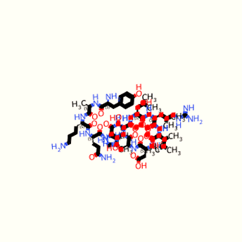 CC[C@H](C)[C@H](NC(=O)[C@H](CCC(N)=O)NC(=O)[C@H](CCCCN)NC(=O)[C@H](C)NC(=O)[C@@H](N)Cc1ccc(O)cc1)C(=O)N[C@@H](Cc1c[nH]cn1)C(=O)N[C@@H](CO)C(=O)N[C@@H](CCCNC(=N)N)C(=O)N[C@H](C(=O)N[C@@H](CC(=O)O)C(=O)N[C@@H](CO)C(=O)N[C@@H](CO)C(=O)N[C@@H](CC(C)C)C(=O)N[C@@H](CC(C)C)C(=O)N[C@@H](CC(C)C)C(=O)O)C(C)C